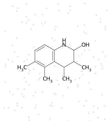 Cc1ccc2c(c1C)C(C)C(C)C(O)N2